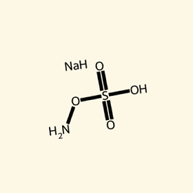 NOS(=O)(=O)O.[NaH]